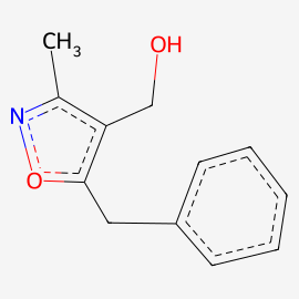 Cc1noc(Cc2ccccc2)c1CO